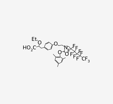 CCOC(Cc1ccc(OCCN(CC(F)(F)C(F)(F)C(F)(F)C(F)(F)C(F)(F)F)C(=O)Oc2c(C)cc(C)cc2C)cc1)C(=O)O